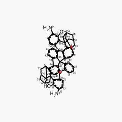 Nc1ccc(Oc2ccccc2C2(c3ccccc3Oc3ccc(N)c(O)c3C34CC5CC(CC(C5)C3)C4)c3ccccc3-c3ccccc32)c(C23CC4CC(CC(C4)C2)C3)c1O